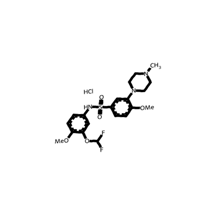 COc1ccc(NS(=O)(=O)c2ccc(OC)c(N3CCN(C)CC3)c2)cc1OC(F)F.Cl